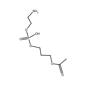 NCCOP(=O)(O)OCCCOC(=O)I